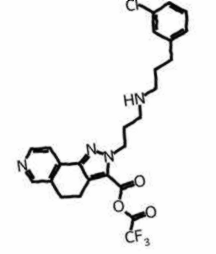 O=C(OC(=O)C(F)(F)F)c1c2c(nn1CCCNCCCc1cccc(Cl)c1)-c1ccncc1CC2